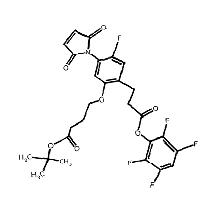 CC(C)(C)OC(=O)CCCOc1cc(N2C(=O)C=CC2=O)c(F)cc1CCC(=O)Oc1c(F)c(F)cc(F)c1F